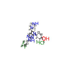 Cl.O[C@H]1CC[C@H](n2cc(CN3CCNCC3)c3cnc(NCCC(F)(F)F)nc32)CC1